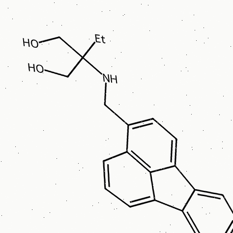 CCC(CO)(CO)NCc1ccc2c3c(cccc13)-c1ccccc1-2